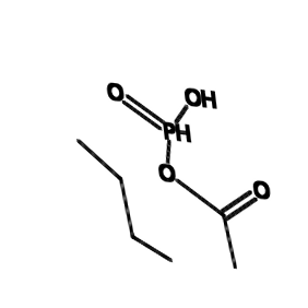 CC(=O)O[PH](=O)O.CCCC